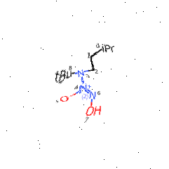 CC(C)CCN(/[N+]([O-])=N/O)C(C)(C)C